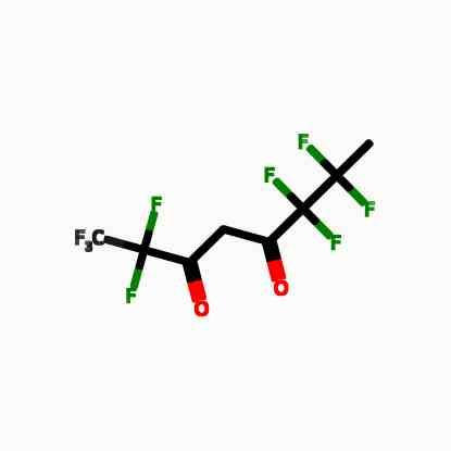 CC(F)(F)C(F)(F)C(=O)CC(=O)C(F)(F)C(F)(F)F